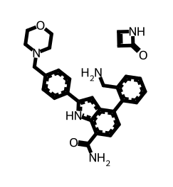 NCc1ccccc1-c1ccc(C(N)=O)c2[nH]c(-c3ccc(CN4CCOCC4)cc3)cc12.O=C1C=CN1